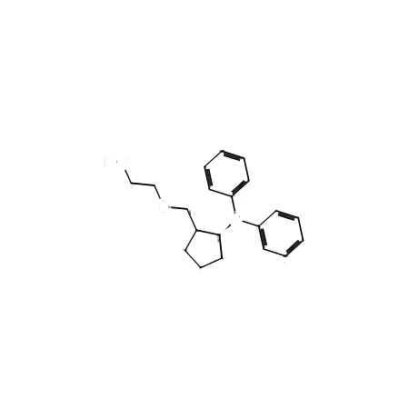 C[C@@H](OCCO)C1CCC[C@@H]1P(c1ccccc1)c1ccccc1